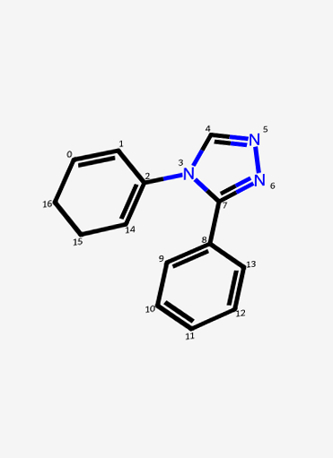 C1=CC(n2cnnc2-c2ccccc2)=CCC1